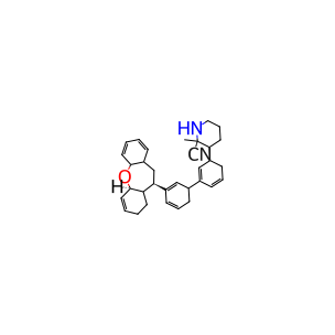 CC1(C#N)NCCCC1C1C=C(C2C=C([C@@H]3CC4C=CC=CC4O[C@@H]4C=CCCC43)C=CC2)C=CC1